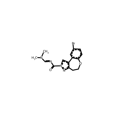 CN(C)C=NC(=O)n1cc2c(n1)CCOc1ccc(Br)cc1-2